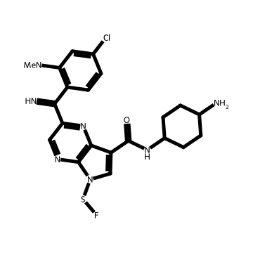 CNc1cc(Cl)ccc1C(=N)c1cnc2c(n1)c(C(=O)NC1CCC(N)CC1)cn2SF